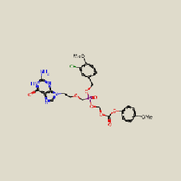 COc1ccc(OC(=O)OCOP(=O)(COCCn2cnc3c(=O)[nH]c(N)nc32)OCc2ccc(OC)c(Cl)c2)cc1